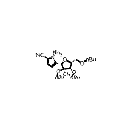 CCCCOC[C@H]1O[C@@H](c2ccc(C#N)n2N)[C@](C)(OCCCC)[C@@H]1OCCCC